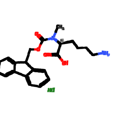 CN(C(=O)OCC1c2ccccc2-c2ccccc21)[C@@H](CCCCN)C(=O)O.Cl